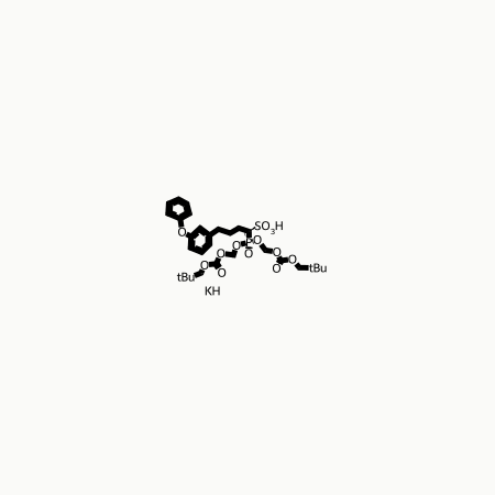 CC(C)(C)COC(=O)OCOP(=O)(OCOC(=O)OCC(C)(C)C)[C@H](CCCc1cccc(Oc2ccccc2)c1)S(=O)(=O)O.[KH]